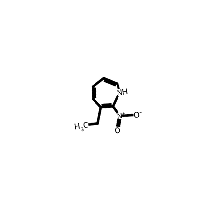 CCC1=C([N+](=O)[O-])NC=CC=C1